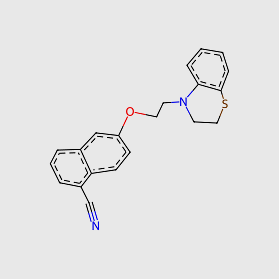 N#Cc1cccc2cc(OCCN3CCSc4ccccc43)ccc12